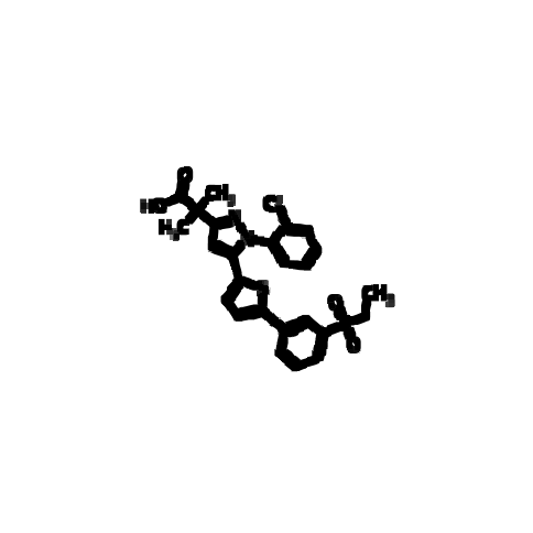 CCS(=O)(=O)c1cccc(-c2ccc(-c3cc(C(C)(C)C(=O)O)nn3-c3ccccc3Cl)s2)c1